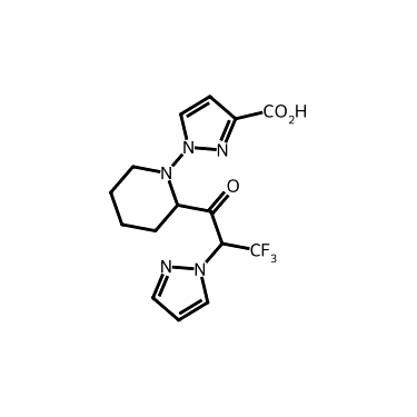 O=C(O)c1ccn(N2CCCCC2C(=O)C(n2cccn2)C(F)(F)F)n1